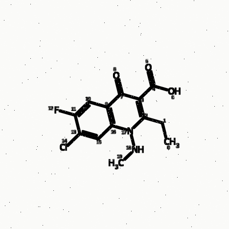 CCc1c(C(=O)O)c(=O)c2cc(F)c(Cl)cc2n1NC